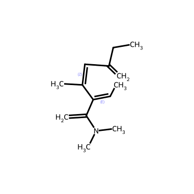 C=C(/C=C(C)\C(=C/C)C(=C)N(C)C)CC